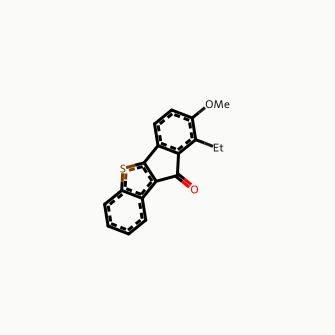 CCc1c(OC)ccc2c1C(=O)c1c-2sc2ccccc12